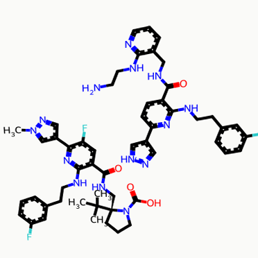 Cn1cc(-c2nc(NCCc3cccc(F)c3)c(C(=O)NC[C@]3(C(C)(C)C)CCCN3C(=O)O)cc2F)cn1.NCCNc1ncccc1CNC(=O)c1ccc(-c2cn[nH]c2)nc1NCCc1cccc(F)c1